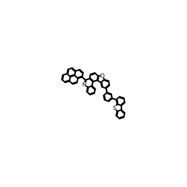 c1cc(-c2ccc3oc4ccc5c(-c6ccc7ccc8cccc9ccc6c7c89)nc6ccccc6c5c4c3c2)cc(-c2cccc3c2sc2ccccc23)c1